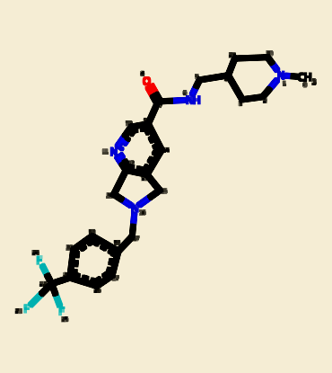 CN1CCC(CNC(=O)c2cnc3c(c2)CN(Cc2ccc(C(F)(F)F)cc2)C3)CC1